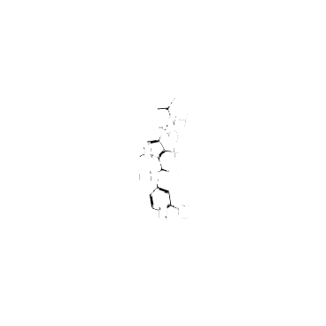 CC(C)NS(=O)(=O)c1cn(C)c(C(=O)Nc2ccnc(Cl)c2)c1F